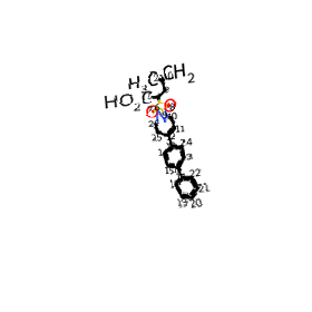 C=C(C)CC(C(=O)O)S(=O)(=O)N1CC=C(c2ccc(-c3ccccc3)cc2)CC1